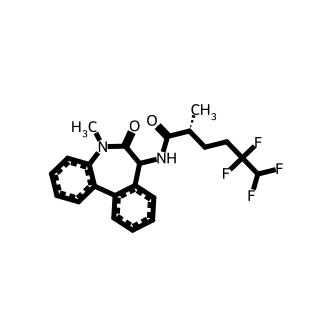 C[C@H](CCC(F)(F)C(F)F)C(=O)NC1C(=O)N(C)c2ccccc2-c2ccccc21